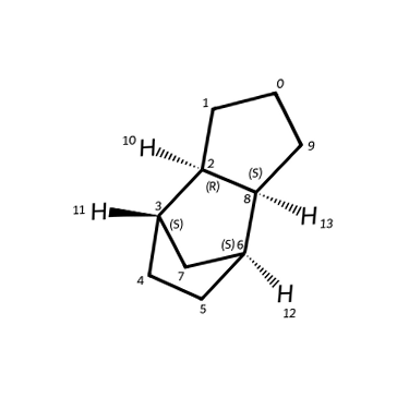 C1C[C@@H]2[C@H]3CC[C@@H](C3)[C@@H]2C1